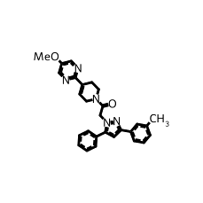 COc1cnc(C2=CCN(C(=O)Cn3nc(-c4cccc(C)c4)cc3-c3ccccc3)CC2)nc1